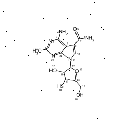 Cc1nc(N)c2c(C(N)=O)cn(C3OC(CO)C(S)C3O)c2n1